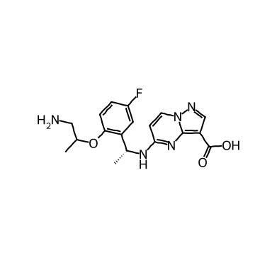 CC(CN)Oc1ccc(F)cc1[C@@H](C)Nc1ccn2ncc(C(=O)O)c2n1